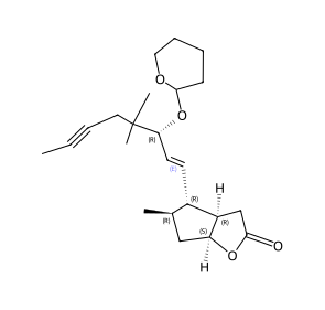 CC#CCC(C)(C)[C@@H](/C=C/[C@@H]1[C@H]2CC(=O)O[C@H]2C[C@H]1C)OC1CCCCO1